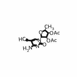 C#Cc1cn([C@@H]2O[C@H](C)[C@@H](OC(C)=O)[C@H]2OC(C)=O)c(=O)nc1N